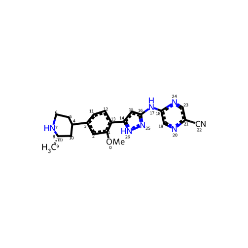 COc1cc(C2CCN[C@@H](C)C2)ccc1-c1cc(Nc2cnc(C#N)cn2)n[nH]1